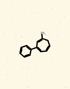 CC1=CC(c2ccccc2)=CC=CC1